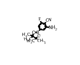 CC1(C)OB(c2cc(N)c(C#N)c(F)c2)OC1(C)C